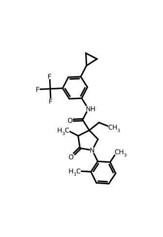 CCC1(C(=O)Nc2cc(C3CC3)cc(C(F)(F)F)c2)CN(c2c(C)cccc2C)C(=O)C1C